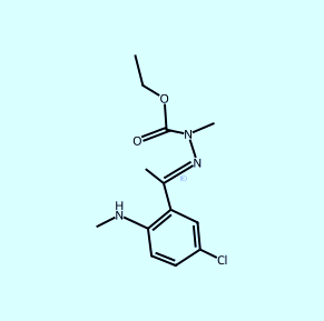 CCOC(=O)N(C)/N=C(\C)c1cc(Cl)ccc1NC